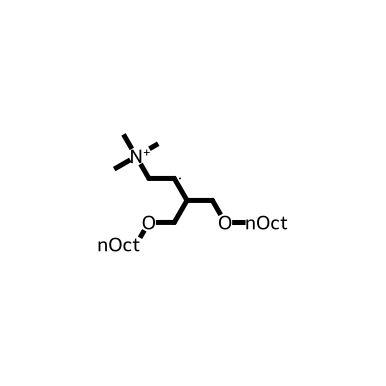 CCCCCCCCOCC([CH]C[N+](C)(C)C)COCCCCCCCC